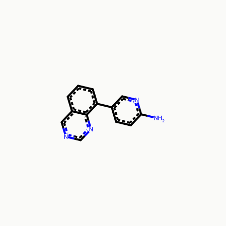 Nc1ccc(-c2cccc3cncnc23)cn1